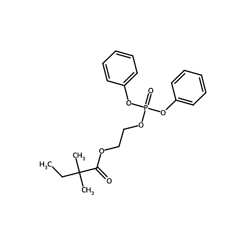 CCC(C)(C)C(=O)OCCOP(=O)(Oc1ccccc1)Oc1ccccc1